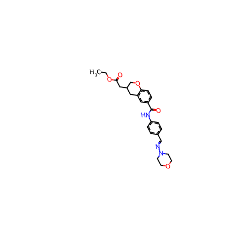 CCOC(=O)CC1COc2ccc(C(=O)Nc3ccc(C=NN4CCOCC4)cc3)cc2C1